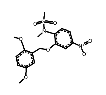 COc1ccc(OC)c(COc2cc([N+](=O)[O-])ccc2N(C)S(C)(=O)=O)c1